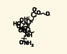 COCCCOc1cc(C[C@@H](C[C@H](NC(CC(=O)O)C(=O)O)[C@@H](O)C[C@H](C(=O)NCC(C)(C)C(N)=O)C(C)C)C(C)C)ccc1OC